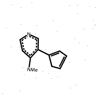 CNc1ccncc1C1=CC=CC1